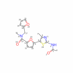 CC(=O)Nc1nc(C)c(-c2ccc(C(=O)N(C)Cc3ccco3)o2)s1